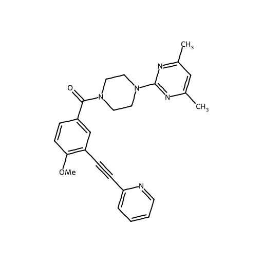 COc1ccc(C(=O)N2CCN(c3nc(C)cc(C)n3)CC2)cc1C#Cc1ccccn1